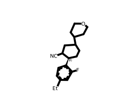 CCc1ccc([C@@H]2CCC(C3CCOCC3)CC2C#N)c(F)c1